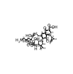 CCc1cc2c(=O)c(C(=O)O)cn(C3C[C@@H]3F)c2c(Cl)c1N1C[C@@H](NC(=O)OC(CCCN)(P(=O)(O)O)P(=O)(O)O)C2(CC2)C1